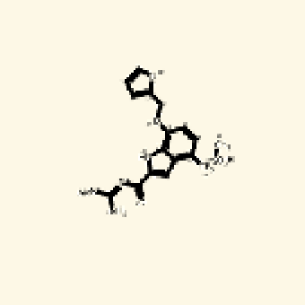 CNC(N)=NC(=O)c1cc2c(C(F)(F)F)ccc(OCc3ccco3)c2[nH]1.CS(=O)(=O)O